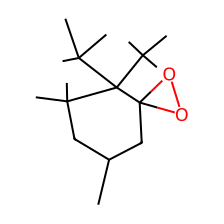 CC1CC(C)(C)C(C(C)(C)C)(C(C)(C)C)C2(C1)OO2